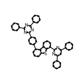 c1ccc(-c2cc(-c3ccccc3)nc(-c3cccc4c3sc3cccc(-c5ccc(-c6nc(-c7ccccc7)nc(-c7ccccc7)n6)cc5)c34)n2)cc1